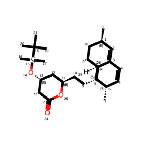 C[C@H]1C=C2C=C[C@H](C)[C@H](CC[C@@H]3C[C@@H](O[Si](C)(C)C(C)(C)C)CC(=O)O3)[C@H]2[CH]C1